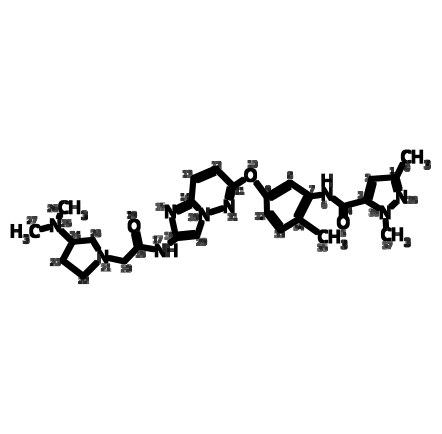 Cc1cc(C(=O)Nc2cc(Oc3ccc4nc(NC(=O)CN5CCC(N(C)C)C5)cn4n3)ccc2C)n(C)n1